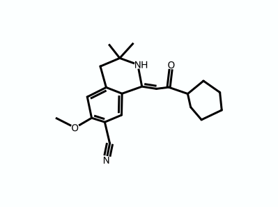 COc1cc2c(cc1C#N)/C(=C/C(=O)C1CCCCC1)NC(C)(C)C2